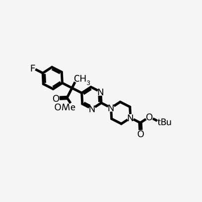 COC(=O)C(C)(c1ccc(F)cc1)c1cnc(N2CCN(C(=O)OC(C)(C)C)CC2)nc1